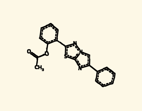 CC(=O)Oc1ccccc1-c1nn2cc(-c3ccccc3)nc2s1